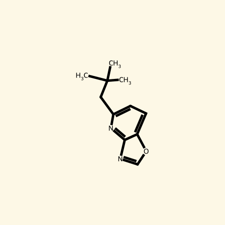 CC(C)(C)Cc1ccc2ocnc2n1